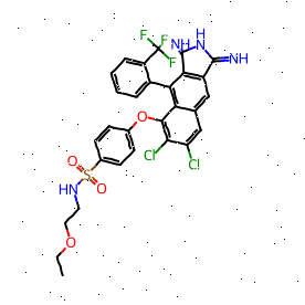 CCOCCNS(=O)(=O)c1ccc(Oc2c(Cl)c(Cl)cc3cc4c(c(-c5ccccc5C(F)(F)F)c23)C(=N)NC4=N)cc1